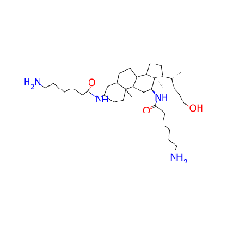 C[C@H](CCCO)C1CCC2C3CCC4C[C@H](NC(=O)CCCCCN)CCC4(C)C3C[C@H](NC(=O)CCCCCN)[C@@]21C